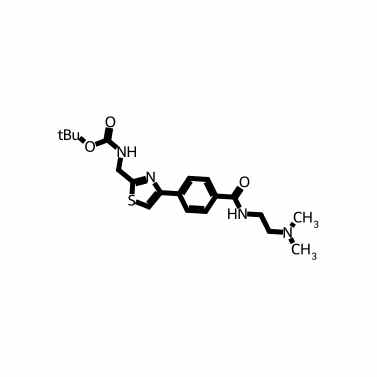 CN(C)CCNC(=O)c1ccc(-c2csc(CNC(=O)OC(C)(C)C)n2)cc1